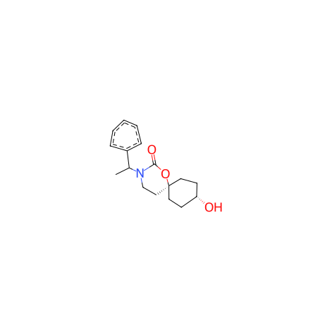 CC(c1ccccc1)N1CC[C@]2(CC[C@@H](O)CC2)OC1=O